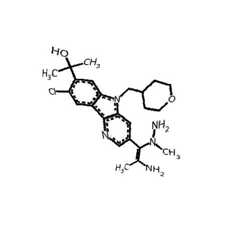 C/C(N)=C(\c1cnc2c3cc(Cl)c(C(C)(C)O)cc3n(CC3CCOCC3)c2c1)N(C)N